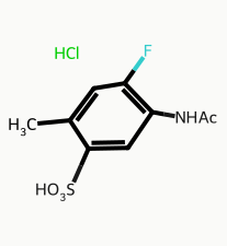 CC(=O)Nc1cc(S(=O)(=O)O)c(C)cc1F.Cl